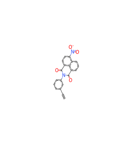 C#Cc1cccc(N2C(=O)c3cccc4c([N+](=O)[O-])ccc(c34)C2=O)c1